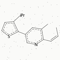 C/C=C\c1ncc(-c2sccc2C(C)C)cc1C